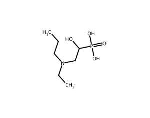 [CH2]CN(CCC)CC(O)P(=O)(O)O